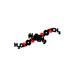 C=COCC1CCC(COCC[Si](C)(C)S(C)(C)CCOCC2CCC(COC=C)CC2)CC1